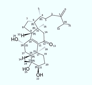 C=C(CC[C@@H](C)[C@H]1CC[C@H]2C3=C(C(=O)C[C@]12C)[C@@]1(C)CC[C@@H](O)[C@](C)(O)[C@@H]1C[C@@H]3O)C(C)C